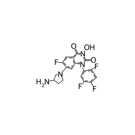 NC1CCN(c2cc3c(cc2F)c(=O)n(O)c(=O)n3-c2cc(F)c(F)cc2F)C1